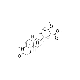 COC(=O)C(O[C@H]1[C@@H](C)C[C@H]2[C@@H]3CC=C4N(C)C(=O)CC[C@]4(C)[C@H]3CC[C@@]21C)C(=O)OC